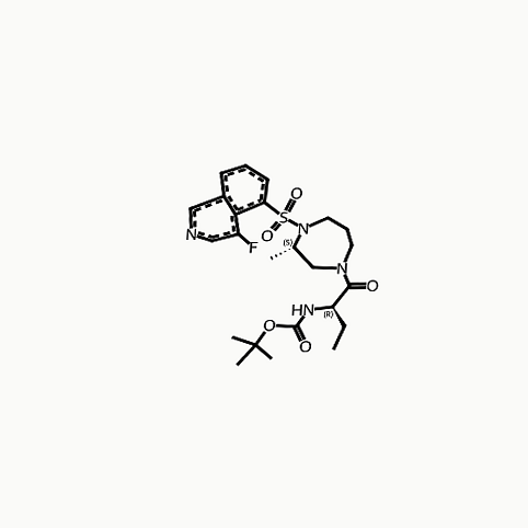 CC[C@@H](NC(=O)OC(C)(C)C)C(=O)N1CCCN(S(=O)(=O)c2cccc3cncc(F)c23)[C@@H](C)C1